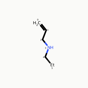 C=CCN[CH]CC